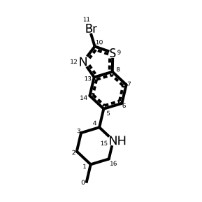 CC1CCC(c2ccc3sc(Br)nc3c2)NC1